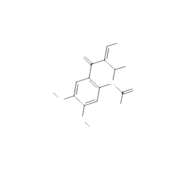 COc1cc2c(cc1OC)N(C(=O)O)C(C)C(=CO)C2=O